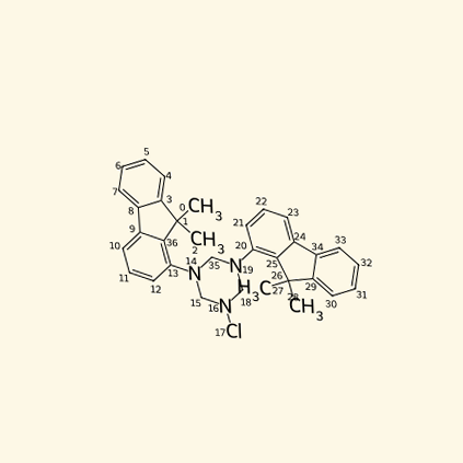 CC1(C)c2ccccc2-c2cccc(N3CN(Cl)CN(c4cccc5c4C(C)(C)c4ccccc4-5)C3)c21